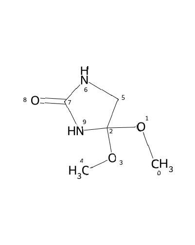 COC1(OC)CNC(=O)N1